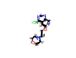 Clc1ncnc2cnc(OCCN3CCOCC3)cc12